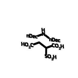 CCCCCCCCCCNCCCCCCCCCC.O=C(O)CC(C(=O)O)S(=O)(=O)O